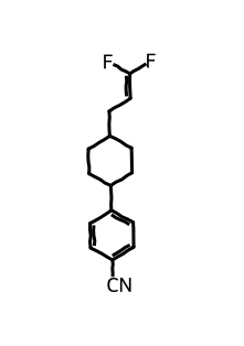 N#Cc1ccc(C2CCC(CC=C(F)F)CC2)cc1